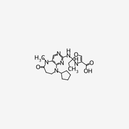 CCC1(Nc2ncc3c(n2)N(C2CCCC2)CCC(=O)N3C)NC(C(=O)O)=CO1